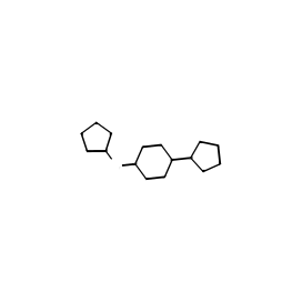 C1CCC(SC2CCC(C3CCCC3)CC2)C1